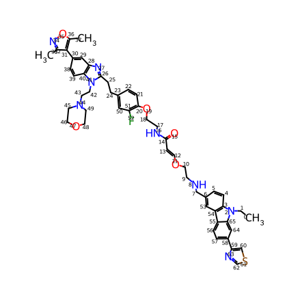 CCn1c2ccc(CNCCOC=CC(=O)NCCOc3ccc(CCc4nc5cc(-c6c(C)noc6C)ccc5n4CCN4CCOCC4)cc3F)cc2c2ccc(-c3cscn3)cc21